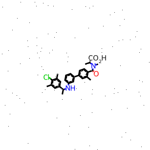 Cc1cc(-c2cccc(NC(C)c3cc(C)c(Cl)c(C)c3)c2)ccc1C(=O)N(C)[C@@H](C)C(=O)O